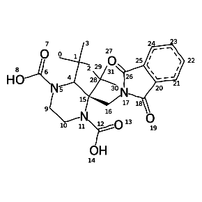 CC(C)(C)C1N(C(=O)O)CCN(C(=O)O)[C@@]1(CN1C(=O)c2ccccc2C1=O)C(C)(C)C